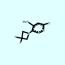 COc1cc(Cl)nnc1N1CC(F)(F)C1